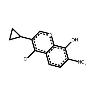 O=[N+]([O-])c1ccc2c(Cl)c(C3CC3)cnc2c1O